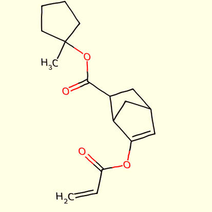 C=CC(=O)OC1=CC2CC(C(=O)OC3(C)CCCC3)C1C2